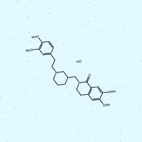 COc1ccc(CCN2CCCC(CN3CCc4cc(OC)c(OC)cc4C3=O)C2)cc1OC.Cl